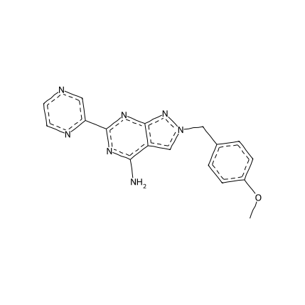 COc1ccc(Cn2cc3c(N)nc(-c4cnccn4)nc3n2)cc1